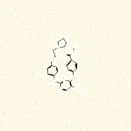 COC(=O)c1ccc(Nc2nc(Nc3ccc(OCCN4CCCC4)cc3)ncc2C)cc1.Cl